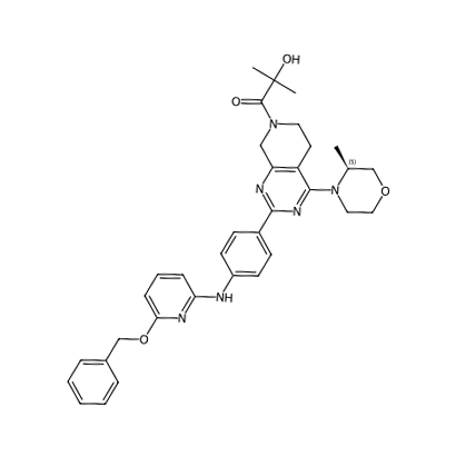 C[C@H]1COCCN1c1nc(-c2ccc(Nc3cccc(OCc4ccccc4)n3)cc2)nc2c1CCN(C(=O)C(C)(C)O)C2